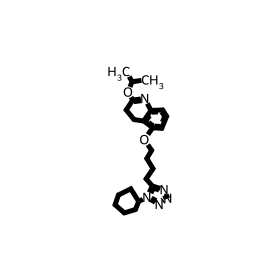 CC(C)OC1=Nc2cccc(OCCCCc3nnnn3C3CCCCC3)c2CC1